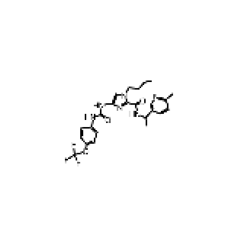 CCCCn1cc(NC(=O)Nc2ccc(OC(F)(F)F)cc2)nc1C(=O)NC(C)c1ccc(C)nc1